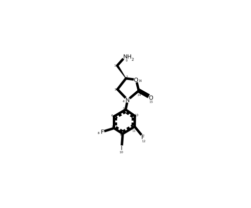 NC[C@@H]1CN(c2cc(F)c(I)c(F)c2)C(=O)O1